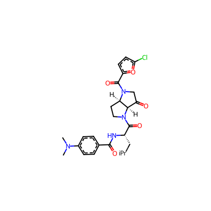 CC(C)C[C@H](NC(=O)c1ccc(N(C)C)cc1)C(=O)N1CC[C@@H]2[C@H]1C(=O)CN2C(=O)c1ccc(Cl)o1